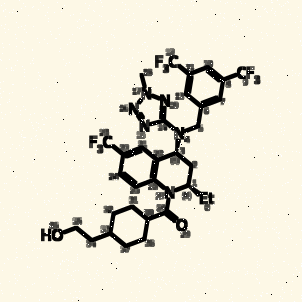 CC[C@@H]1C[C@H](N(Cc2cc(C(F)(F)F)cc(C(F)(F)F)c2)c2nnn(C)n2)c2cc(C(F)(F)F)ccc2N1C(=O)C1CCC(CCO)CC1